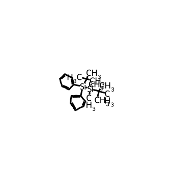 CC(C)(C)[Si](C)(C)[Si](c1ccccc1)(c1ccccc1)C(C)(C)C